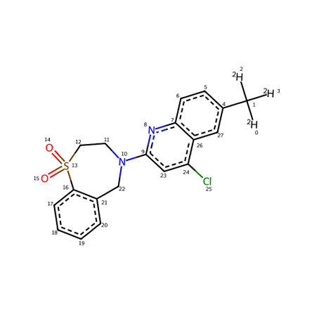 [2H]C([2H])([2H])c1ccc2nc(N3CCS(=O)(=O)c4ccccc4C3)cc(Cl)c2c1